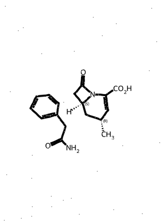 C[C@H]1C=C(C(=O)O)N2C(=O)C[C@@H]2C1.NC(=O)Cc1ccccc1